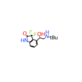 CC(C)(C)NC[C@H](O)c1cccc2c1C(F)(F)C(=O)N2